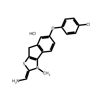 CN1C(=CN)SC2=C1c1ccc(Oc3ccc(Cl)cc3)cc1C2.Cl